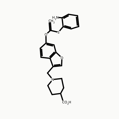 C=C(Oc1ccc2c(CN3CCC(C(=O)O)CC3)coc2c1)Sc1ccccc1N